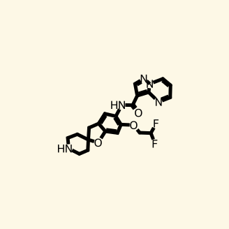 O=C(Nc1cc2c(cc1OCC(F)F)OC1(CCNCC1)C2)c1cnn2cccnc12